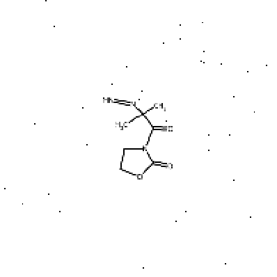 CC(C)(N=N)C(=O)N1CCOC1=O